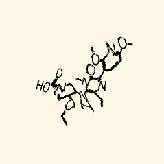 CCO[C@H]1CN(C(=O)O)C[C@H]1Nc1c(CC)nc(-c2ccc(OC)nc2OC)c(=O)n1C